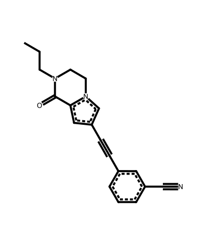 CCCN1CCn2cc(C#Cc3cccc(C#N)c3)cc2C1=O